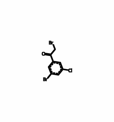 O=C(CBr)c1cc(Cl)cc(Br)c1